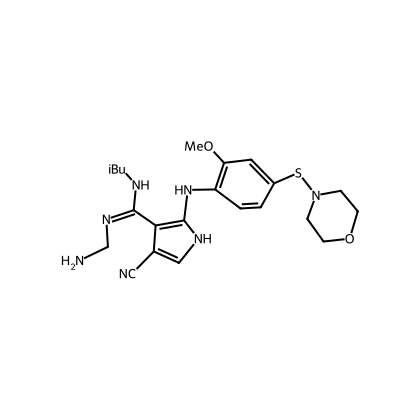 CCC(C)N/C(=N/CN)c1c(C#N)c[nH]c1Nc1ccc(SN2CCOCC2)cc1OC